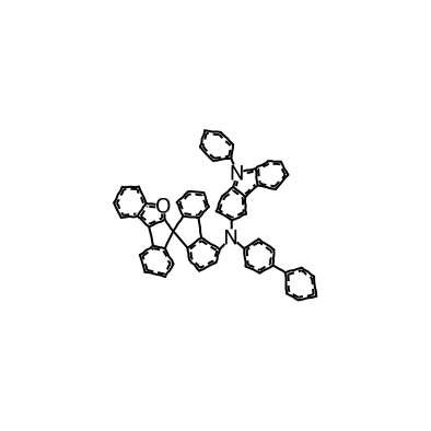 c1ccc(-c2ccc(N(c3ccc4c(c3)c3ccccc3n4-c3ccccc3)c3cccc4c3-c3ccccc3C43c4ccccc4-c4c3oc3ccccc43)cc2)cc1